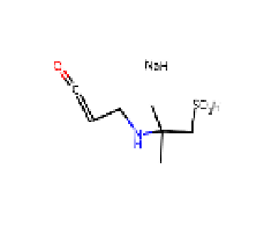 CC(C)(CS(=O)(=O)O)NCC=C=O.[NaH]